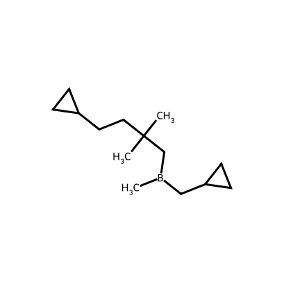 CB(CC1CC1)CC(C)(C)CCC1CC1